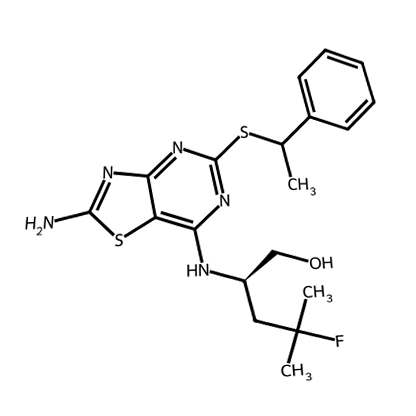 CC(Sc1nc(N[C@@H](CO)CC(C)(C)F)c2sc(N)nc2n1)c1ccccc1